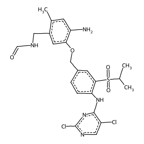 Cc1cc(N)c(OCc2ccc(Nc3nc(Cl)ncc3Cl)c(S(=O)(=O)C(C)C)c2)cc1CNC=O